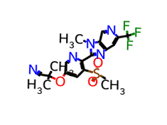 CCS(=O)(=O)c1cc(OC(C)(C)C#N)cnc1-c1nc2cc(C(F)(F)F)ncc2n1C